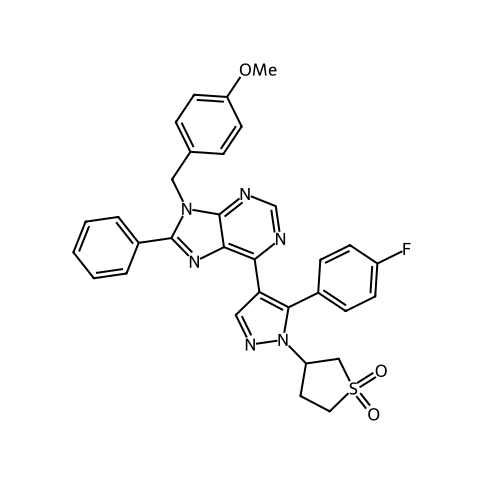 COc1ccc(Cn2c(-c3ccccc3)nc3c(-c4cnn(C5CCS(=O)(=O)C5)c4-c4ccc(F)cc4)ncnc32)cc1